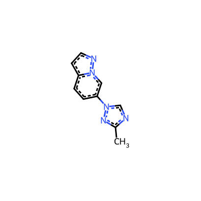 Cc1ncn(-c2ccc3ccnn3c2)n1